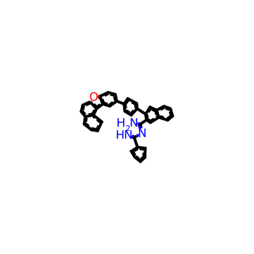 N=C(/N=C(\N)c1cc2ccccc2cc1-c1ccc(-c2ccc3oc4ccc5ccccc5c4c3c2)cc1)c1ccccc1